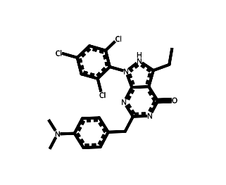 CCc1[nH]n(-c2c(Cl)cc(Cl)cc2Cl)c2nc(Cc3ccc(N(C)C)cc3)nc(=O)c1-2